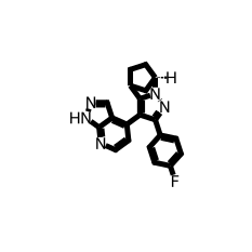 Fc1ccc(-c2nn3c(c2-c2ccnc4[nH]ncc24)C2CC[C@@H]3C2)cc1